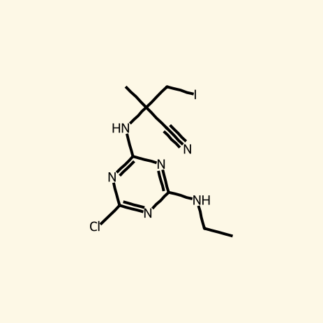 CCNc1nc(Cl)nc(NC(C)(C#N)CI)n1